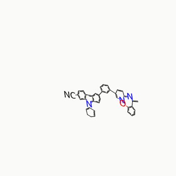 C=C1N=C2C=CC(c3cccc(-c4ccc5c(c4)c4ccc(C#N)cc4n5C4=CCCC=C4)c3)=CN2Oc2ccccc21